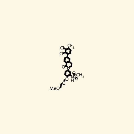 COCCOCOc1ccc(N2CCc3cc(-c4ccc(C(F)(F)F)c(Cl)c4Cl)ccc3C2=O)cc1NS(C)(=O)=O